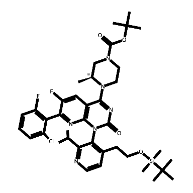 CC(C)c1nccc(CCO[Si](C)(C)C(C)(C)C)c1-n1c(=O)nc(N2CCN(C(=O)OC(C)(C)C)C[C@@H]2C)c2cc(F)c(-c3c(F)cccc3Cl)nc21